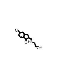 O=C1C(=CNCCO)Cc2cc(Cl)ccc21